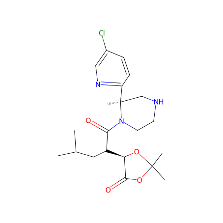 CC(C)CC(C(=O)N1CCNC[C@]1(C)c1ccc(Cl)cn1)[C@H]1OC(C)(C)OC1=O